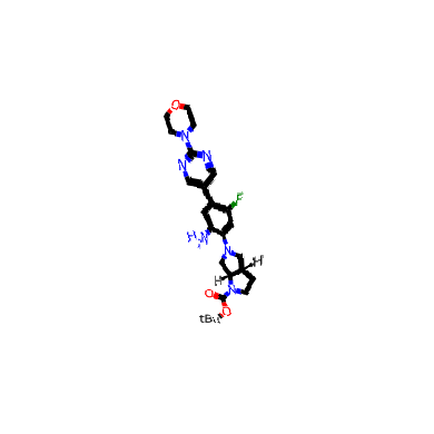 CC(C)(C)OC(=O)N1CC[C@H]2CN(c3cc(F)c(-c4cnc(N5CCOCC5)nc4)cc3N)C[C@H]21